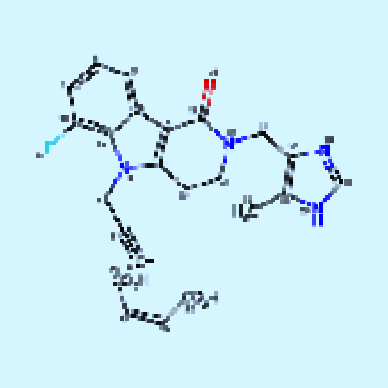 C#CCn1c2c(c3cccc(F)c31)C(=O)N(Cc1nc[nH]c1C)CC2.O=C(O)/C=C\C(=O)O